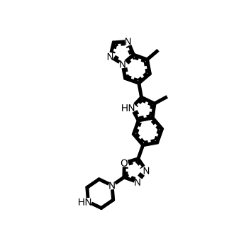 Cc1c(-c2cc(C)c3ncnn3c2)[nH]c2cc(-c3nnc(N4CCNCC4)o3)ccc12